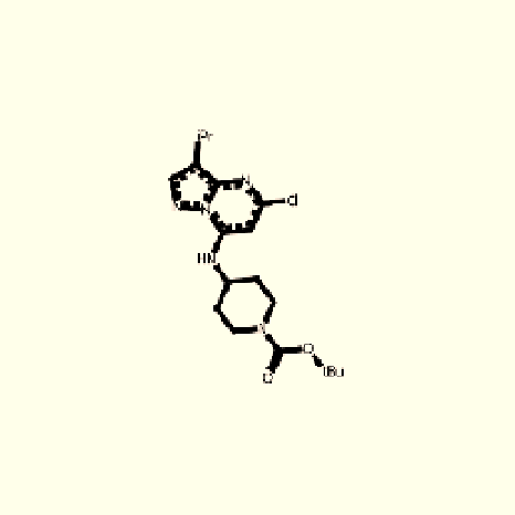 CC(C)c1cnn2c(NC3CCN(C(=O)OC(C)(C)C)CC3)cc(Cl)nc12